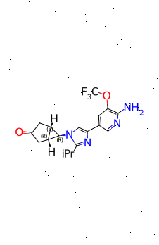 CC(C)c1nc(-c2cnc(N)c(OC(F)(F)F)c2)cn1[C@H]1[C@@H]2CC(=O)C[C@@H]21